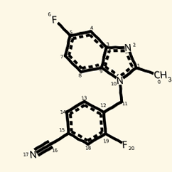 Cc1nc2cc(F)ccc2n1Cc1ccc(C#N)cc1F